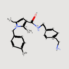 COc1ccc(Cn2c(C)cc(C(=O)NCc3ccc(CN)cc3)c2C)cc1